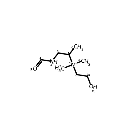 CC(CNC=O)[N+](C)(C)CCO